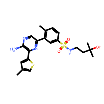 Cc1csc(-c2nc(-c3cc(S(=O)(=O)NCCC(C)(C)O)ccc3C)cnc2N)c1